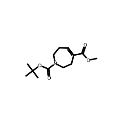 COC(=O)C1=CCCN(C(=O)OC(C)(C)C)CC1